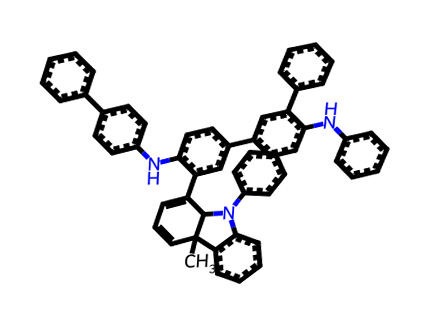 CC12C=CC=C(c3cc(-c4ccc(Nc5ccccc5)c(-c5ccccc5)c4)ccc3Nc3ccc(-c4ccccc4)cc3)C1N(c1ccccc1)c1ccccc12